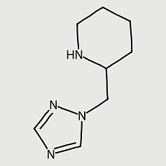 c1ncn(CC2CCCCN2)n1